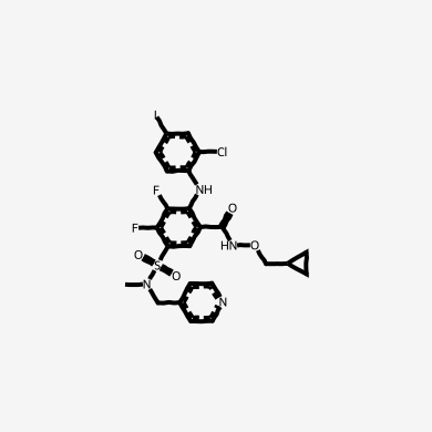 CN(Cc1ccncc1)S(=O)(=O)c1cc(C(=O)NOCC2CC2)c(Nc2ccc(I)cc2Cl)c(F)c1F